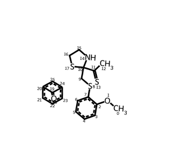 COc1ccccc1SCC1(C(C)=S)NCCS1.O=C1c2cccc1c2